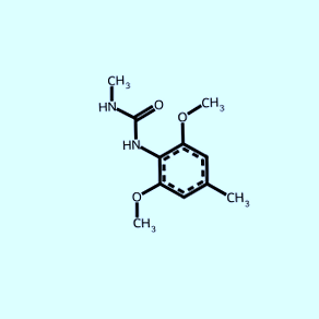 CNC(=O)Nc1c(OC)cc(C)cc1OC